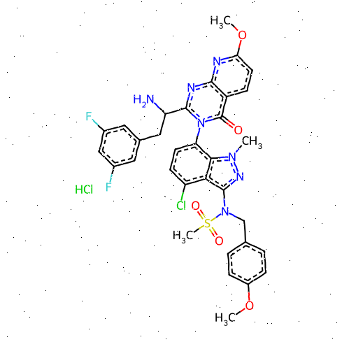 COc1ccc(CN(c2nn(C)c3c(-n4c(C(N)Cc5cc(F)cc(F)c5)nc5nc(OC)ccc5c4=O)ccc(Cl)c23)S(C)(=O)=O)cc1.Cl